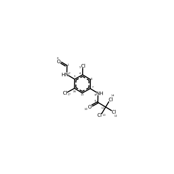 O=CNc1c(Cl)cc(NC(=O)C(Cl)(Cl)Cl)cc1Cl